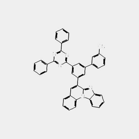 N#Cc1cccc(-c2cc(-c3nc(-c4ccccc4)nc(-c4ccccc4)n3)cc(-c3cc4ccccc4n4c3nc3ccccc34)c2)c1